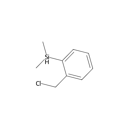 C[SiH](C)c1ccccc1CCl